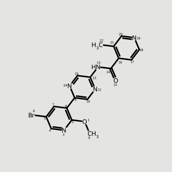 COc1ncc(Br)cc1-c1cnc(NC(=O)c2ccncc2C)cn1